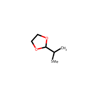 CSC(C)C1OCCO1